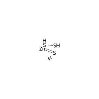 SS.[S]=[Zn].[V]